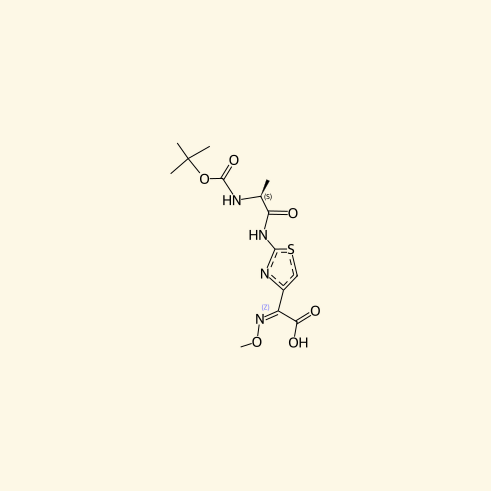 CO/N=C(\C(=O)O)c1csc(NC(=O)[C@H](C)NC(=O)OC(C)(C)C)n1